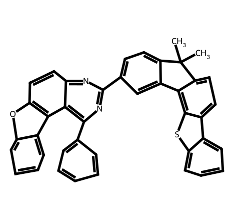 CC1(C)c2ccc(-c3nc(-c4ccccc4)c4c(ccc5oc6ccccc6c54)n3)cc2-c2c1ccc1c2sc2ccccc21